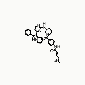 CN(C)C/C=C/C(=O)Nc1ccc(C(=O)N2CCC[C@H](Nc3nccc(-c4c(-c5ccccc5)nn5ccccc45)n3)C2)cc1